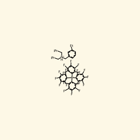 CCc1cccc(C[NH+](CC(C)C)CC(C)C)c1.Fc1c(F)c(F)c([B-](c2c(F)c(F)c(F)c(F)c2F)(c2c(F)c(F)c(F)c(F)c2F)c2c(F)c(F)c(F)c(F)c2F)c(F)c1F